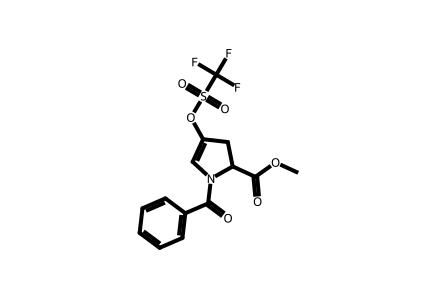 COC(=O)C1CC(OS(=O)(=O)C(F)(F)F)=CN1C(=O)c1ccccc1